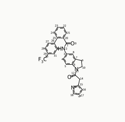 O=C(Nc1ccc2c(c1)CCN2C(=O)Cc1cscn1)c1ccccc1-c1ccc(C(F)(F)F)cc1